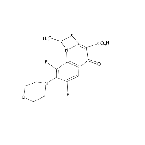 CC1Sc2c(C(=O)O)c(=O)c3cc(F)c(N4CCOCC4)c(F)c3n21